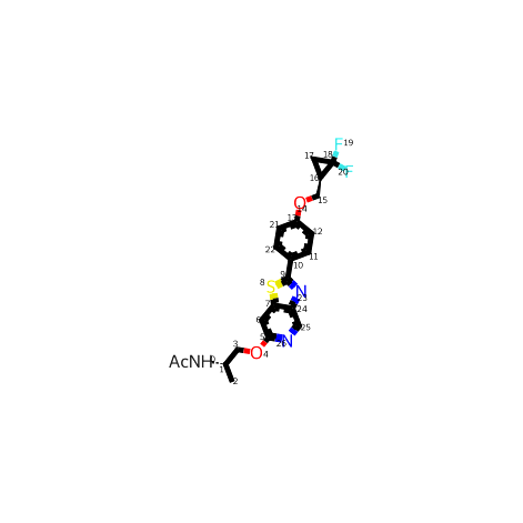 CC(=O)N[C@@H](C)COc1cc2sc(-c3ccc(OC[C@H]4CC4(F)F)cc3)nc2cn1